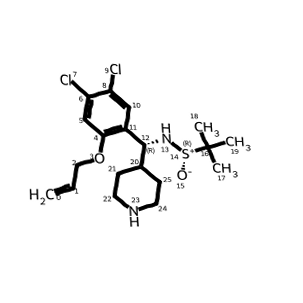 C=CCOc1cc(Cl)c(Cl)cc1[C@H](N[S@@+]([O-])C(C)(C)C)C1CCNCC1